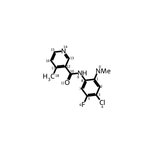 CNc1cc(Cl)c(F)cc1NC(=O)c1cnccc1C